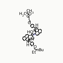 C=C(C)C(=O)OCCCOc1ccc(B2N=c3/c(=C4/C(=O)C(c5ccc6cccc7c6c5NB(c5ccc(OCC(CC)CCCC)cc5)N7)=C4O)ccc4cccc(c34)N2)cc1